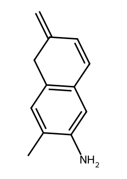 C=C1C=Cc2cc(N)c(C)cc2C1